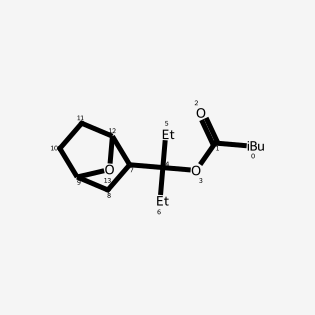 CCC(C)C(=O)OC(CC)(CC)C1CC2CCC1O2